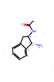 CC(=O)N[C@@H]1Cc2ccccc2[C@H]1N